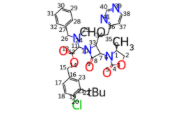 C[C@H]1COC(=O)N1C1C(=O)N(C(C(=O)OCc2ccc(Cl)c(C(C)(C)C)c2)N(C=O)Cc2ccccc2)C1CCc1ccncn1